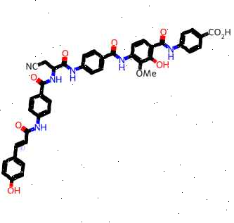 COc1c(NC(=O)c2ccc(NC(=O)C(CC#N)NC(=O)c3ccc(NC(=O)/C=C/c4ccc(O)cc4)cc3)cc2)ccc(C(=O)Nc2ccc(C(=O)O)cc2)c1O